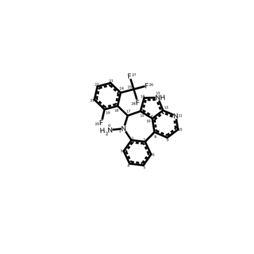 NN1c2ccccc2-c2ccnc3[nH]cc(c23)C1c1c(F)cccc1C(F)(F)F